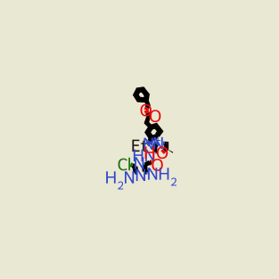 CC[n+]1c(CNC(=O)c2nc(Cl)c(N)nc2N)n(C[C@H](C)O)c2ccc(CC(=O)OCc3ccccc3)cc21